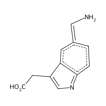 NC=c1ccc2c(c1)C(CC(=O)O)=CN=2